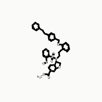 COC(=O)c1ccc2c(c1)OCC2N(CCc1ccccc1OCc1ccc(CCc2ccccc2)cc1)S(=O)(=O)c1ccccc1N=O